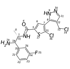 C[C@H](NC(=O)c1cc(-c2[nH]ncc2CCl)c(Cl)s1)C(N)c1cccc(F)c1